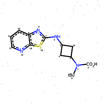 CC(C)(C)N(C(=O)O)C1CC(Nc2nc3cccnc3s2)C1